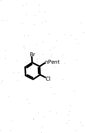 CCCCCc1c(Cl)cccc1Br